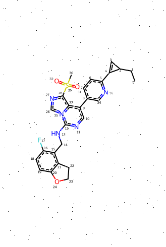 CCC1C=C1c1ccc(-c2cnc(NCc3c(F)ccc4c3CCO4)n3cnc(S(C)(=O)=O)c23)cn1